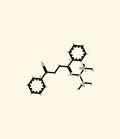 C[SiH](C)N(N=C(CCC(=O)c1ccccc1)c1ccccc1)[SiH](C)C